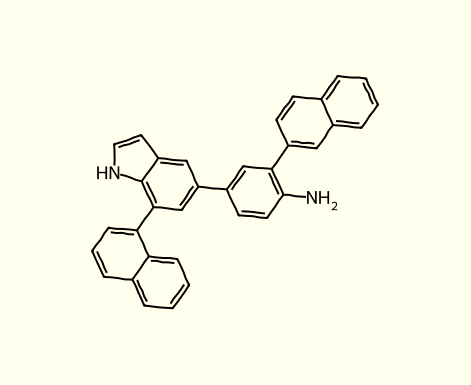 Nc1ccc(-c2cc(-c3cccc4ccccc34)c3[nH]ccc3c2)cc1-c1ccc2ccccc2c1